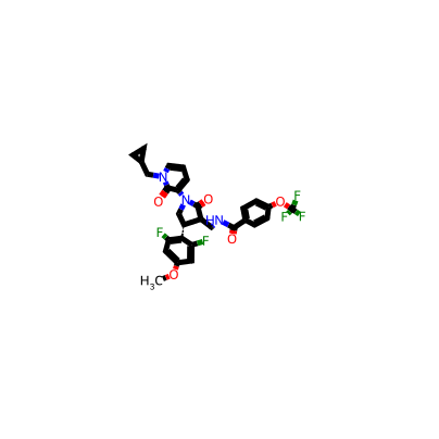 COc1cc(F)c([C@@H]2CN(c3cccn(CC4CC4)c3=O)C(=O)C2CNC(=O)c2ccc(OC(F)(F)F)cc2)c(F)c1